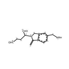 C=C1c2ccc(CNC)cc2CN1C(C=O)CCC=O